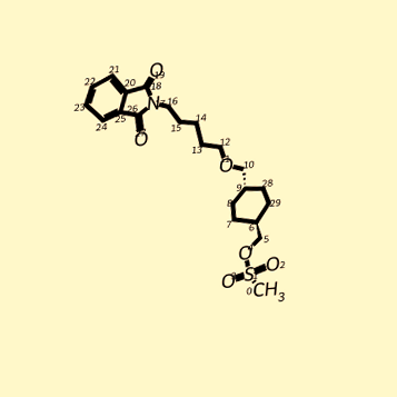 CS(=O)(=O)OC[C@H]1CC[C@H](COCCCCCN2C(=O)c3ccccc3C2=O)CC1